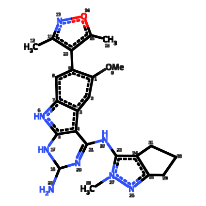 COc1cc2c3c([nH]c2cc1-c1c(C)noc1C)NC(N)N=C3Nc1c2c(nn1C)CCC2